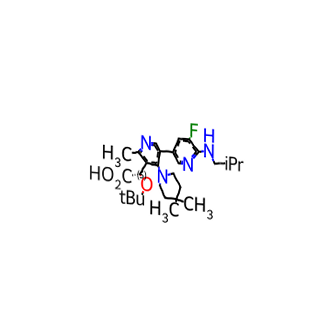 Cc1ncc(-c2cnc(NCC(C)C)c(F)c2)c(N2CCC(C)(C)CC2)c1[C@H](OC(C)(C)C)C(=O)O